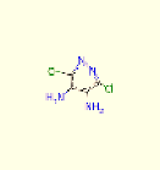 Nc1c(Cl)nnc(Cl)c1N